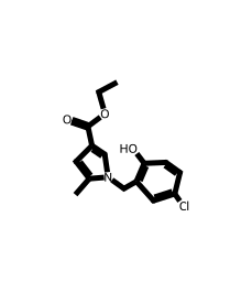 CCOC(=O)c1cc(C)n(Cc2cc(Cl)ccc2O)c1